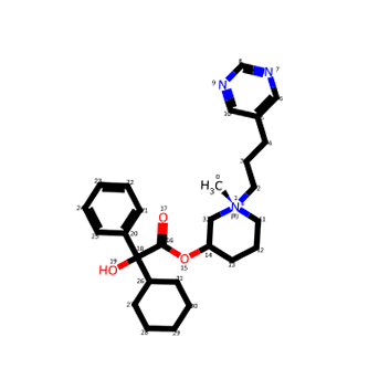 C[N@@+]1(CCCc2cncnc2)CCCC(OC(=O)C(O)(c2ccccc2)C2CCCCC2)C1